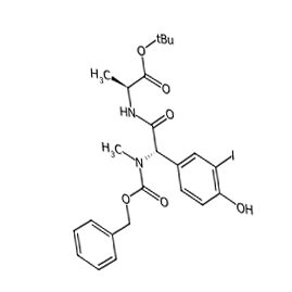 C[C@H](NC(=O)[C@H](c1ccc(O)c(I)c1)N(C)C(=O)OCc1ccccc1)C(=O)OC(C)(C)C